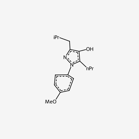 CCCc1c(O)c(CC(C)C)nn1-c1ccc(OC)cc1